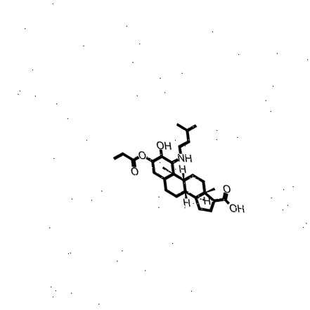 CCC(=O)OC1CC2CC[C@@H]3[C@@H](CC[C@]4(C)C(C(=O)O)CC[C@@H]34)[C@@]2(C)C(NCCC(C)C)C1O